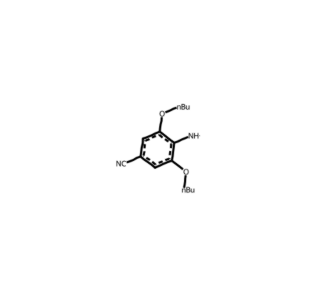 CCCCOc1cc(C#N)cc(OCCCC)c1[NH]